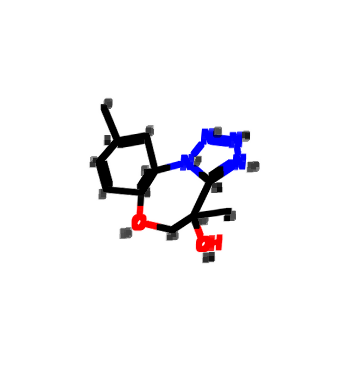 Cc1ccc2c(c1)-n1nnnc1C(C)(O)CO2